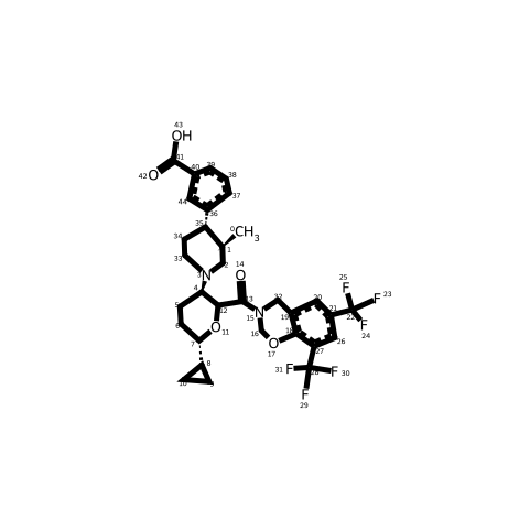 C[C@H]1CN([C@@H]2CC[C@@H](C3CC3)OC2C(=O)N2COc3c(cc(C(F)(F)F)cc3C(F)(F)F)C2)CC[C@@H]1c1cccc(C(=O)O)c1